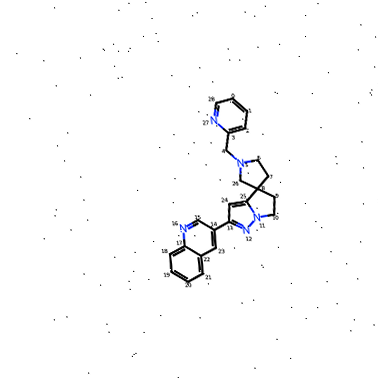 c1ccc(CN2CCC3(CCn4nc(-c5cnc6ccccc6c5)cc43)C2)nc1